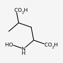 CC(CC(NO)C(=O)O)C(=O)O